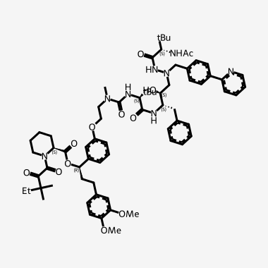 CCC(C)(C)C(=O)C(=O)N1CCCC[C@H]1C(=O)O[C@H](CCc1ccc(OC)c(OC)c1)c1cccc(OCCN(C)C(=O)N[C@H](C(=O)N[C@@H](Cc2ccccc2)[C@@H](O)CN(Cc2ccc(-c3ccccn3)cc2)NC(=O)[C@@H](NC(C)=O)C(C)(C)C)C(C)(C)C)c1